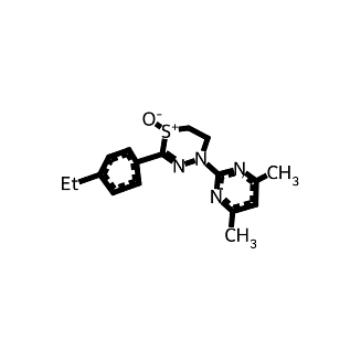 CCc1ccc(C2=NN(c3nc(C)cc(C)n3)CC[S+]2[O-])cc1